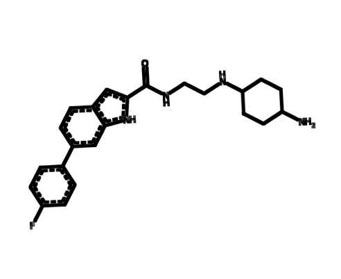 NC1CCC(NCCNC(=O)c2cc3ccc(-c4ccc(F)cc4)cc3[nH]2)CC1